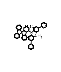 Cc1cc(-c2ccccc2)ccc1N(c1ccc(-c2ccccc2)cc1C)C1CC=CC2=C1c1ccccc1C21c2ccccc2-c2ccccc21